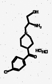 Cl.Cl.NC(CO)CN1CCC(C(=O)c2ccc(Cl)cc2)CC1